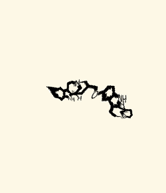 c1ccc2c3c([nH]c2c1)[C@@H]1CC(COc2ccc4[nH]c5c(c4c2)CC[N@@]2CCC[C@@H]5C2)C[N@](CC3)C1